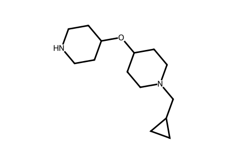 C1CC(OC2CCN(CC3CC3)CC2)CCN1